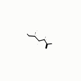 O=CC(=O)[C@H](O)[C@H](O)[C@H](O)CO